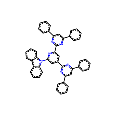 c1ccc(-c2cc(-c3ccccc3)nc(-c3cc(-c4nc(-c5ccccc5)cc(-c5ccccc5)n4)nc(-n4c5ccccc5c5ccccc54)c3)n2)cc1